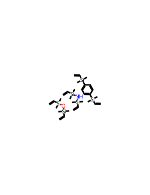 C=C[Si](C)(C)N[Si](C)(C)C=C.C=C[Si](C)(C)O[Si](C)(C)C=C.C=C[Si](C)(C)c1ccc([Si](C)(C)C=C)cc1